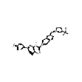 Nc1ccc(-c2ccc(F)cc2)nc1NC(=O)N1Cc2ccc(CN3CCC(C(F)(F)F)C3)cc2C1